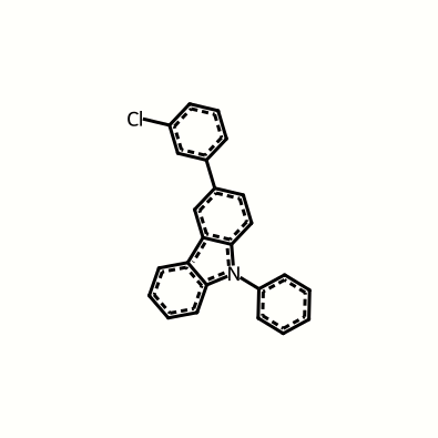 Clc1cccc(-c2ccc3c(c2)c2ccccc2n3-c2ccccc2)c1